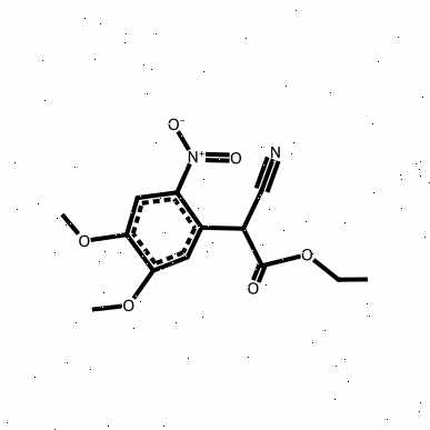 CCOC(=O)C(C#N)c1cc(OC)c(OC)cc1[N+](=O)[O-]